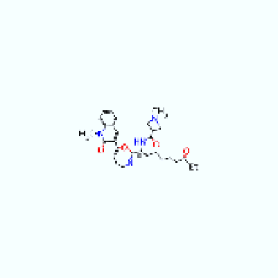 CCC(=O)CCCCC[C@H](NC(=O)C1CN(C)C1)C1=NCCC=C(c2cc3ccccc3n(C)c2=O)O1